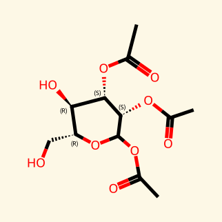 CC(=O)OC1O[C@H](CO)[C@@H](O)[C@H](OC(C)=O)[C@@H]1OC(C)=O